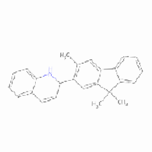 Cc1cc2c(cc1C1C=Cc3ccccc3N1)C(C)(C)c1ccccc1-2